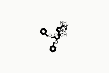 Nc1ncnn2c(C3(O)CC(OCc4ccccc4)C(COCc4ccccc4)O3)ccc12